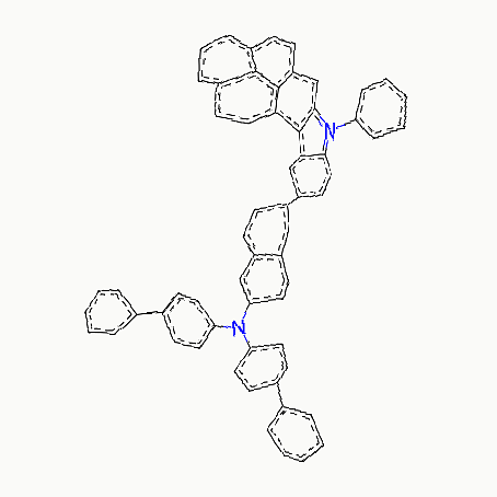 c1ccc(-c2ccc(N(c3ccc(-c4ccccc4)cc3)c3ccc4cc(-c5ccc6c(c5)c5c7ccc8cccc9ccc(cc5n6-c5ccccc5)c7c98)ccc4c3)cc2)cc1